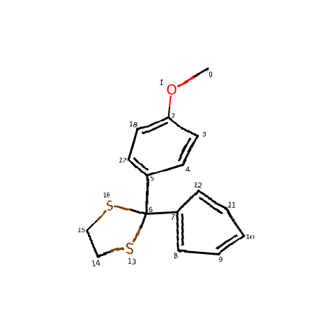 COc1ccc(C2(c3ccccc3)SCCS2)cc1